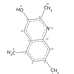 Cc1cc(C)c2cc(O)c(C)nc2c1